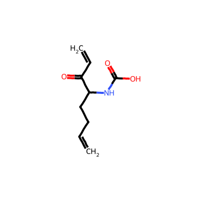 C=CCCC(NC(=O)O)C(=O)C=C